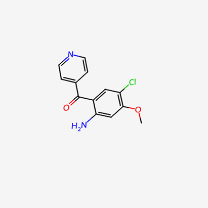 COc1cc(N)c(C(=O)c2ccncc2)cc1Cl